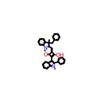 Cn1c(-c2ccccc2)c(C2=C(O)/C(=C/C3=[N+](C)c4ccccc4C3(C)Cc3ccccc3)C2=O)c2ccccc21